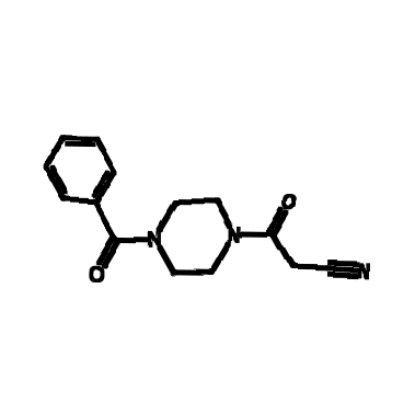 N#CCC(=O)N1CCN(C(=O)c2ccccc2)CC1